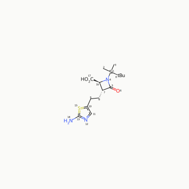 CC(C)(C)[Si](C)(C)N1C(=O)[C@H](CCc2cnc(N)s2)[C@H]1C(=O)O